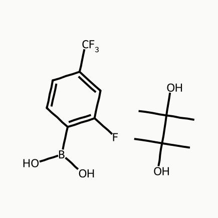 CC(C)(O)C(C)(C)O.OB(O)c1ccc(C(F)(F)F)cc1F